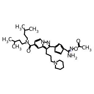 CC(=O)O/N=C(\N)c1ccc(-c2nn3ccc(C(=O)N(CCC(C)C)CCC(C)C)cc3c2CCCN2CCCCC2)cc1